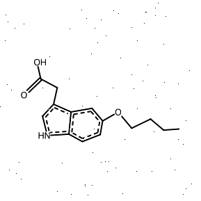 CCCCOc1ccc2[nH]cc(CC(=O)O)c2c1